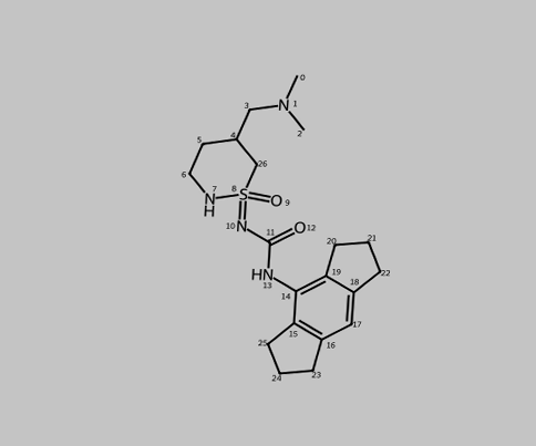 CN(C)CC1CCNS(=O)(=NC(=O)Nc2c3c(cc4c2CCC4)CCC3)C1